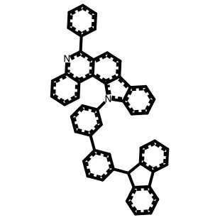 c1ccc(-c2nc3ccccc3c3c2ccc2c4ccccc4n(-c4cccc(-c5cccc(C6c7ccccc7-c7ccccc76)c5)c4)c23)cc1